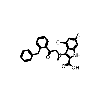 CN(CC(=O)c1ccccc1Cc1ccccc1)c1c(C(=O)O)[nH]c2cc(Cl)cc(Cl)c12